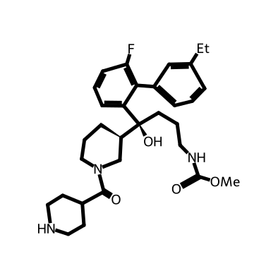 CCc1cccc(-c2c(F)cccc2[C@](O)(CCCNC(=O)OC)[C@@H]2CCCN(C(=O)C3CCNCC3)C2)c1